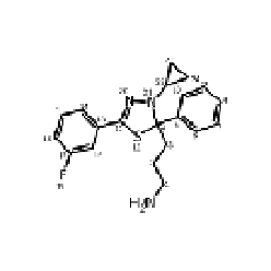 NCCCC1(c2ccccc2)SC(c2cccc(F)c2)=NN1C1CC1